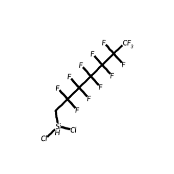 FC(F)(F)C(F)(F)C(F)(F)C(F)(F)C(F)(F)C(F)(F)C[SiH](Cl)Cl